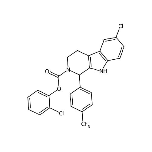 O=C(Oc1ccccc1Cl)N1CCc2c([nH]c3ccc(Cl)cc23)C1c1ccc(C(F)(F)F)cc1